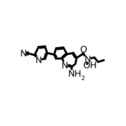 CCCN(O)C(=O)C1=Cc2ccc(-c3ccc(C#N)nc3)cc2N=C(N)C1